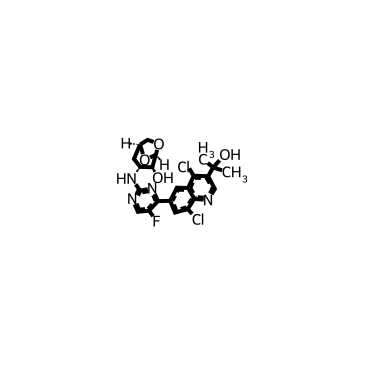 CC(C)(O)c1cnc2c(Cl)cc(-c3nc(N[C@@H]4C[C@H]5CO[C@H](O5)[C@H]4O)ncc3F)cc2c1Cl